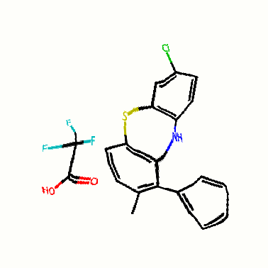 Cc1ccc2c(c1-c1ccccc1)Nc1ccc(Cl)cc1S2.O=C(O)C(F)(F)F